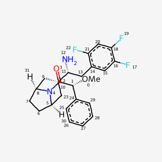 CO[C@@H](C(=O)N1[C@@H]2CC[C@H]1C[C@H]([C@H](N)Cc1cc(F)c(F)cc1F)C2)c1ccccc1